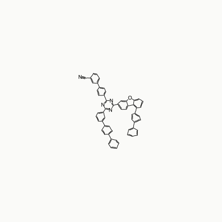 N#Cc1cccc(-c2ccc(-c3nc(-c4cccc(-c5ccc(-c6ccccc6)cc5)c4)nc(-c4ccc5c(c4)oc4cccc(-c6ccc(-c7ccccc7)cc6)c45)n3)cc2)c1